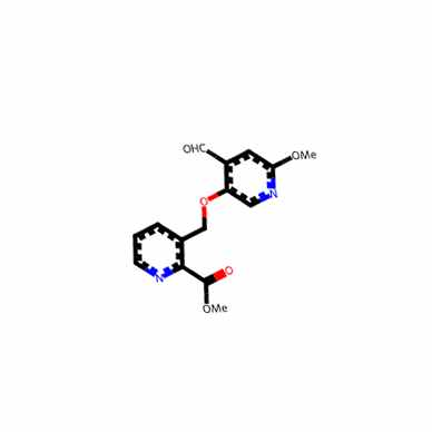 COC(=O)c1ncccc1COc1cnc(OC)cc1C=O